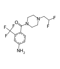 Nc1ccc(C(=O)N2CCN(CC(F)F)CC2)c(C(F)(F)F)c1